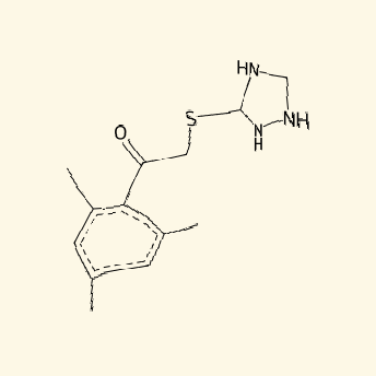 Cc1cc(C)c(C(=O)CSC2NCNN2)c(C)c1